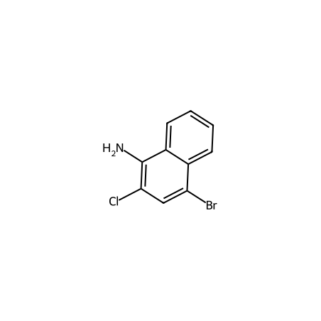 Nc1c(Cl)cc(Br)c2ccccc12